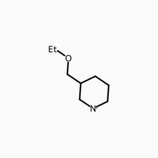 CCOCC1CCC[N]C1